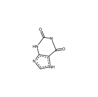 O=C1[N]C(=O)c2[nH]cnc2N1